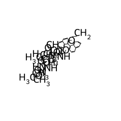 C=CCOc1ccc2ccccc2c1-c1c(OCC(=O)N[C@H](CCCCN/C(=N/C(=O)OC(C)(C)C)NC(=O)OC(C)(C)C)C(=O)NC(C)C(=O)OC)ccc2ccccc12